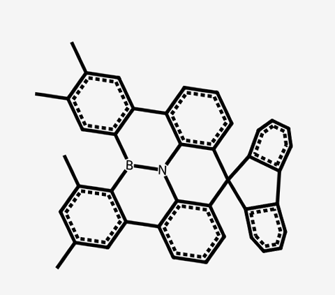 Cc1cc(C)c2c(c1)-c1cccc3c1N1B2c2cc(C)c(C)cc2-c2cccc(c21)C31c2ccccc2-c2ccccc21